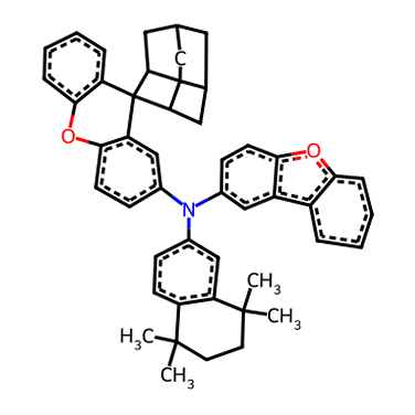 CC1(C)CCC(C)(C)c2cc(N(c3ccc4c(c3)C3(c5ccccc5O4)C4CC5CC6CC3C64C5)c3ccc4oc5ccccc5c4c3)ccc21